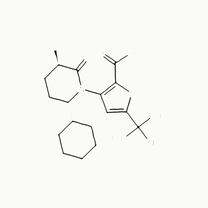 CC(C)(C)c1cc(N2C(=O)[C@H](O)CC[C@H]2C2CCCCC2)c(C(=O)O)s1